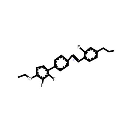 CCCc1ccc(/C=C/c2ccc(-c3ccc(OCC)c(F)c3F)cc2)c(F)c1